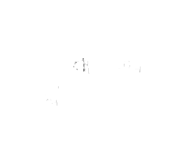 COCCOCCCN[C@@H]1CCCC[C@H]1NCCCOCCOC